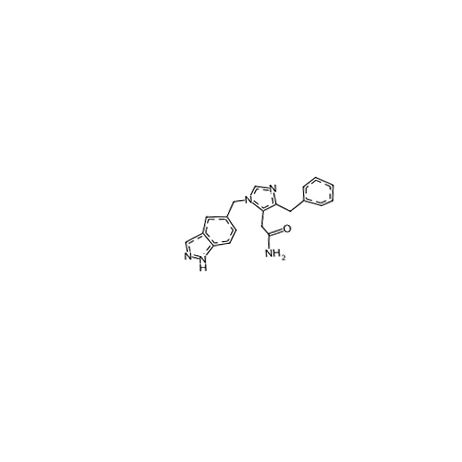 NC(=O)Cc1c(Cc2ccccc2)ncn1Cc1ccc2[nH]ncc2c1